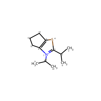 CC(C)c1sc2c([n+]1C(C)C)CCC2